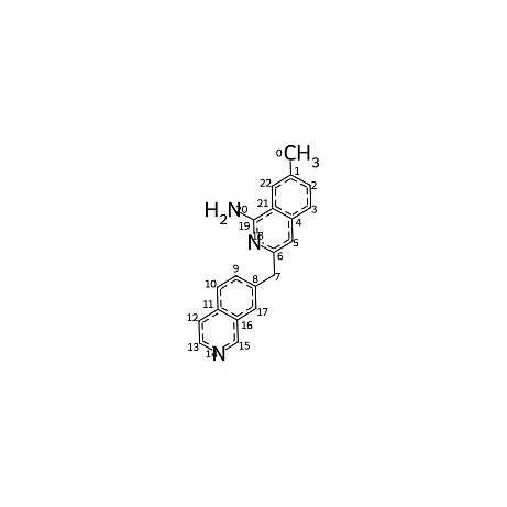 Cc1ccc2cc(Cc3ccc4ccncc4c3)nc(N)c2c1